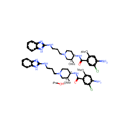 CC(C)O.COc1cc(N)c(Cl)cc1C(=O)N[C@@H]1CCN(CCCNc2nc3ccccc3[nH]2)C[C@@H]1OC.COc1cc(N)c(Cl)cc1C(=O)N[C@@H]1CCN(CCCNc2nc3ccccc3[nH]2)C[C@@H]1OC